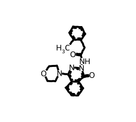 Cc1ccccc1CC(=O)Nn1nc(N2CCOCC2)c2ccccc2c1=O